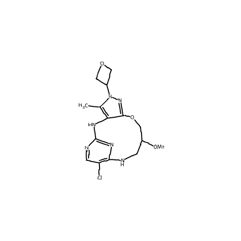 COC1CNc2nc(ncc2Cl)Nc2c(nn(C3COC3)c2C)OC1